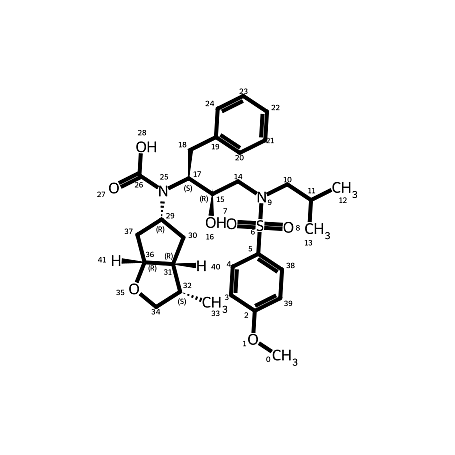 COc1ccc(S(=O)(=O)N(CC(C)C)C[C@@H](O)[C@H](Cc2ccccc2)N(C(=O)O)[C@@H]2C[C@@H]3[C@H](C)CO[C@@H]3C2)cc1